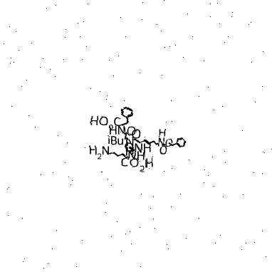 CC[C@@H](C)[C@H](NC(=O)[C@@H](CCCCNC(=O)OCc1ccccc1)NC(=O)N[C@@H](CCCCN)C(=O)O)C(=O)N[C@@H](Cc1ccccc1)C(=O)O